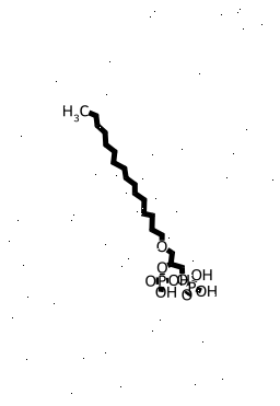 CCCCCCCCCCCCCCCCOCC(COP(=O)(O)O)OP(=O)(O)O